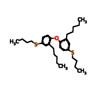 CCCCCc1cc(SCCCC)ccc1Oc1ccc(SCCCC)cc1CCCCC